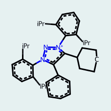 CC(C)c1cccc(C(C)C)c1-n1n[n+](-c2c(C(C)C)cccc2C(C)C)c(C2CCCCC2)c1-c1ccccc1